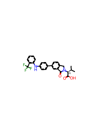 CC(C)[C@@H](C(=O)O)N1Cc2ccc(-c3ccc(Nc4ccccc4C(F)(F)F)cc3)cc2C1=O